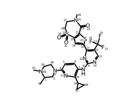 CC1CN(c2ccc(Nc3ncc(C(F)(F)F)c(-c4cc5c(s4)C(=O)N(C)CCS5(=O)=O)n3)c(C3CC3)n2)CCN1C